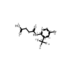 O=C(O)CCC(=O)Nc1ncc(Br)cc1C(F)(F)F